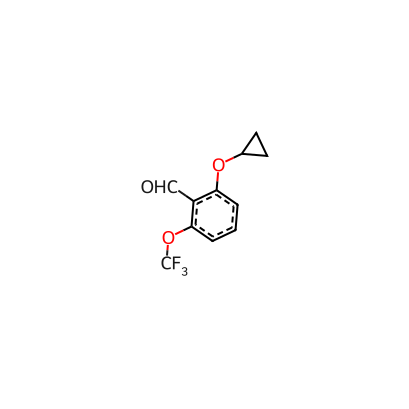 O=Cc1c(OC2CC2)cccc1OC(F)(F)F